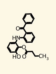 CCCC(=O)Oc1c(O)cccc1Nc1ccccc1C(=O)c1ccccc1